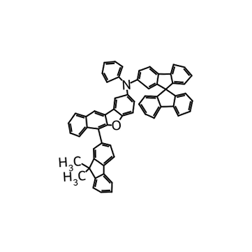 CC1(C)c2ccccc2-c2ccc(-c3c4ccccc4cc4c3oc3ccc(N(c5ccccc5)c5ccc6c(c5)C5(c7ccccc7-c7ccccc75)c5ccccc5-6)cc34)cc21